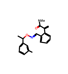 C=C(C(=O)NC)c1ccccc1/C=N/OC(C)c1cccc(C)c1